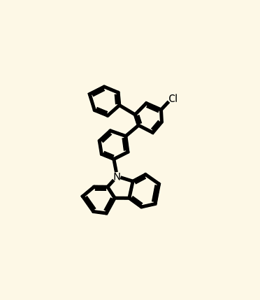 Clc1ccc(-c2cccc(-n3c4ccccc4c4ccccc43)c2)c(-c2ccccc2)c1